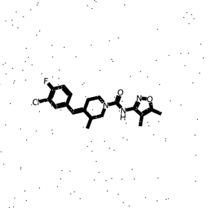 Cc1onc(NC(=O)N2CCC(=Cc3ccc(F)c(Cl)c3)C(C)C2)c1C